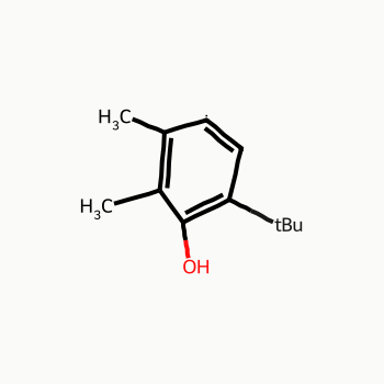 Cc1[c]cc(C(C)(C)C)c(O)c1C